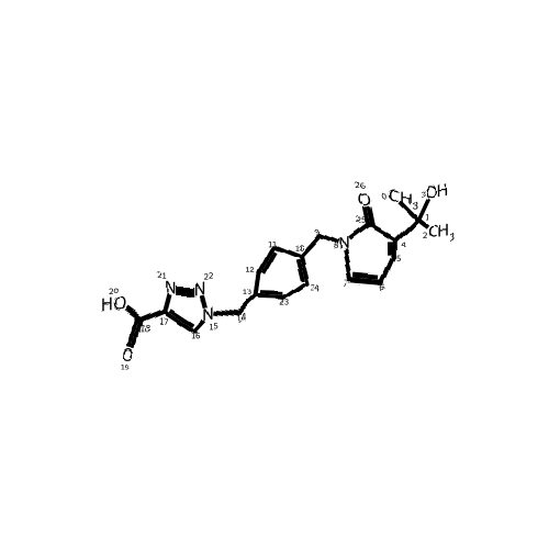 CC(C)(O)c1cccn(Cc2ccc(Cn3cc(C(=O)O)nn3)cc2)c1=O